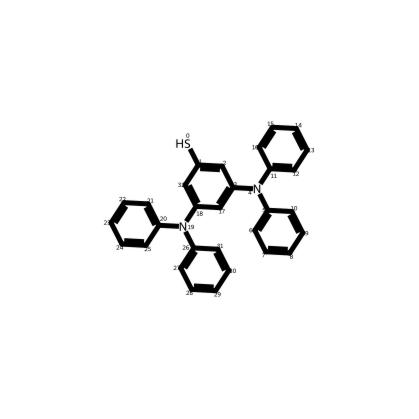 Sc1cc(N(c2ccccc2)c2ccccc2)cc(N(c2ccccc2)c2ccccc2)c1